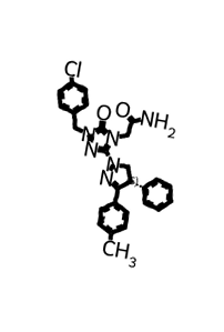 Cc1ccc(C2=NN(c3nn(Cc4ccc(Cl)cc4)c(=O)n3CC(N)=O)C[C@@H]2c2ccccc2)cc1